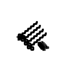 CCCCCCCCCCCC(=O)[O-].CCCCCCCCCCCC(=O)[O-].CCCCCCCCCCCC(=O)[O-].CCCCCCCCCCCC(=O)[O-].[O-2].[O-2].[O-2].[O-2].[Ti+4].[Ti+4].[Ti+4]